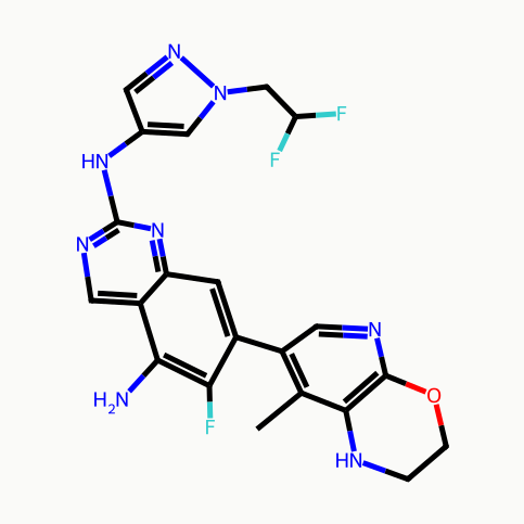 Cc1c(-c2cc3nc(Nc4cnn(CC(F)F)c4)ncc3c(N)c2F)cnc2c1NCCO2